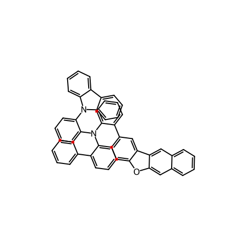 c1ccc(-c2ccccc2N(c2ccccc2-c2ccc3oc4cc5ccccc5cc4c3c2)c2ccccc2-n2c3ccccc3c3ccccc32)cc1